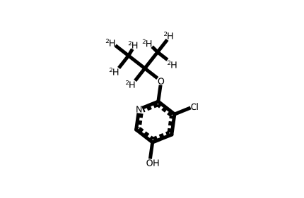 [2H]C([2H])([2H])C([2H])(Oc1ncc(O)cc1Cl)C([2H])([2H])[2H]